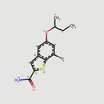 CCC(C)Oc1cc(Br)c2sc(C(N)=O)cc2c1